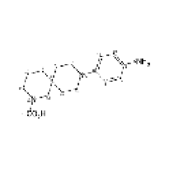 Nc1ccc(N2CCC3(CCCN(C(=O)O)C3)CC2)cc1